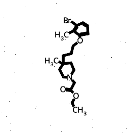 CCOC(=O)CN1CCC(C)(CCCOc2cccc(Br)c2C)CC1